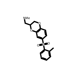 CNCC1COc2ccc(S(=O)(=O)c3ccccc3C)cc2O1